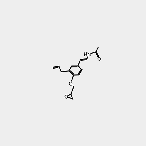 C=CCc1cc(C=CNC(C)=O)ccc1OCC1CO1